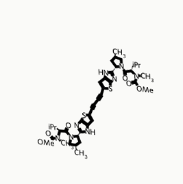 COC(=O)N(C)[C@H](C(=O)N1C[C@@H](C)C[C@H]1c1nc2sc(C#CC#Cc3cc4[nH]c([C@@H]5C[C@H](C)CN5C(=O)[C@H](C(C)C)N(C)C(=O)OC)nc4s3)cc2[nH]1)C(C)C